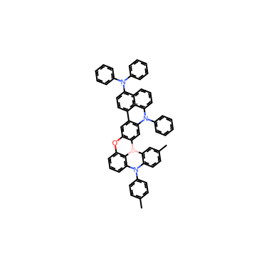 Cc1ccc(N2c3ccc(C)cc3B3c4cc5c(cc4Oc4cccc2c43)-c2ccc(N(c3ccccc3)c3ccccc3)c3cccc(c23)N5c2ccccc2)cc1